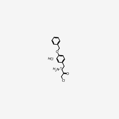 Cl.N[C@H](Cc1ccc(OCc2ccccc2)cc1)C(=O)CCl